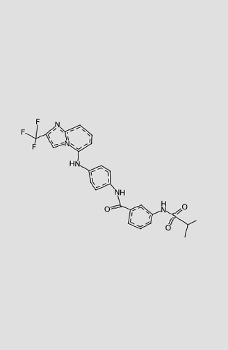 CC(C)S(=O)(=O)Nc1cccc(C(=O)Nc2ccc(Nc3cccc4nc(C(F)(F)F)cn34)cc2)c1